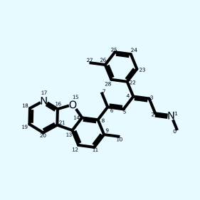 C/N=C/C=C(\C=C(/C)c1c(C)ccc2c1oc1ncccc12)c1cccc(C)c1